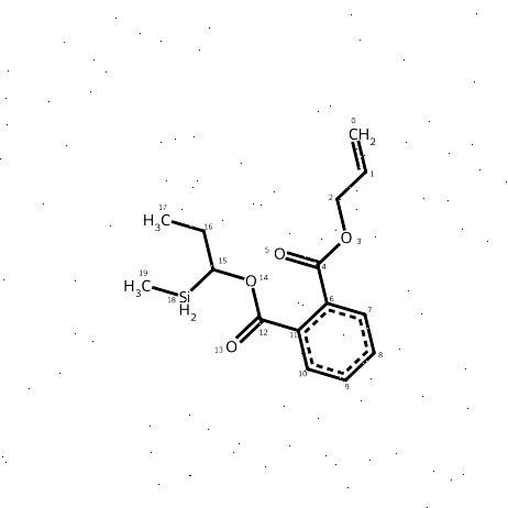 C=CCOC(=O)c1ccccc1C(=O)OC(CC)[SiH2]C